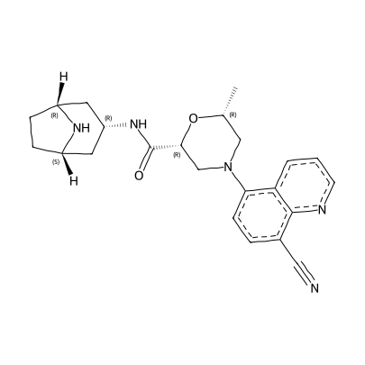 C[C@@H]1CN(c2ccc(C#N)c3ncccc23)C[C@H](C(=O)N[C@H]2C[C@H]3CC[C@@H](C2)N3)O1